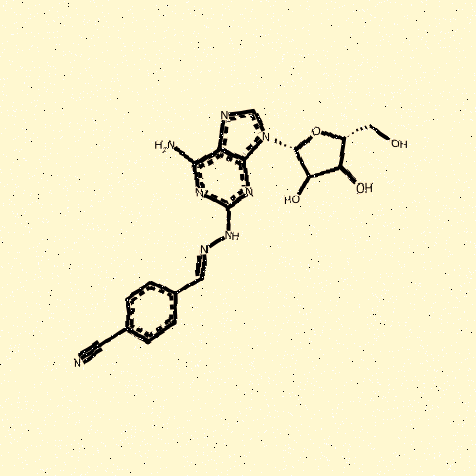 N#Cc1ccc(/C=N/Nc2nc(N)c3ncn([C@@H]4O[C@H](CO)C(O)C4O)c3n2)cc1